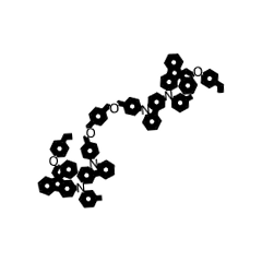 C=Cc1ccc(OCCC2(c3ccccc3)c3ccccc3-c3ccc(N(c4cccc(C)c4)c4ccc5c(c4)c4ccccc4n5-c4ccc(COCc5ccc(COCc6ccc(-n7c8ccccc8c8cc(N(c9cccc(C)c9)c9ccc%10c(c9)C(CCOc9ccc(C=C)cc9)(c9ccccc9)c9ccccc9-%10)ccc87)cc6)cc5)cc4)cc32)cc1